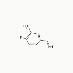 Cc1cc(C=N)ccc1F